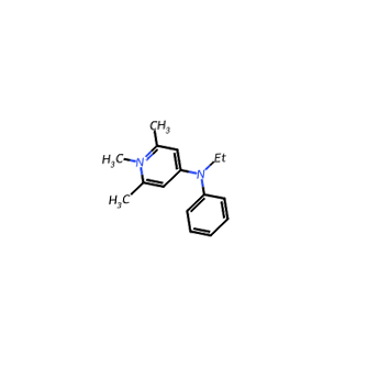 CCN(c1ccccc1)c1cc(C)[n+](C)c(C)c1